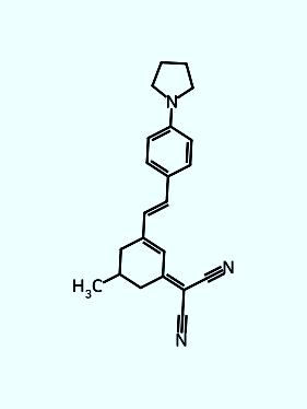 CC1CC(C=Cc2ccc(N3CCCC3)cc2)=CC(=C(C#N)C#N)C1